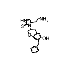 NCCc1c[nH]c(=S)n1[C@H]1COc2cc(Cc3ccccc3)c(O)cc2C1